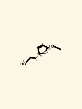 CB[C@H]1C=C[C@@H](CCO)O1